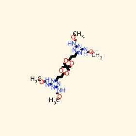 COCNc1nc(CCC2OCC3(CO2)COC(CCc2nc(NCOC)nc(NCOC)n2)OC3)nc(NCOC)n1